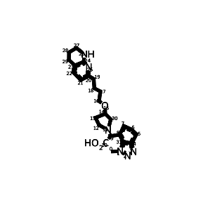 Cn1nnc2cccc(C(C(=O)O)N3CCC(OCCCCc4ccc5c(n4)NCCC5)C3)c21